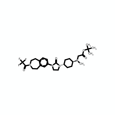 CN(CC(=O)OC(C)(C)C)[C@H]1CC[C@H](N2CCN(c3ccc4c(c3)CCN(C(=O)C(F)(F)F)CC4)C2=O)CC1